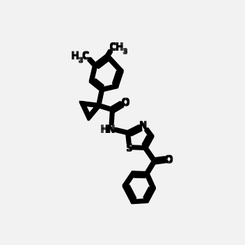 Cc1ccc(C2(C(=O)Nc3ncc(C(=O)c4ccccc4)s3)CC2)cc1C